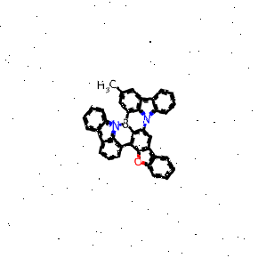 Cc1cc2c3c(c1)c1ccccc1n3-c1cc3c(oc4ccccc43)c3c1B2n1c2ccccc2c2cccc-3c21